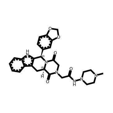 CN1CCN(NC(=O)CN2CC(=O)N3[C@H](c4ccc5c(c4)OCO5)c4[nH]c5ccccc5c4C[C@@H]3C2=O)CC1